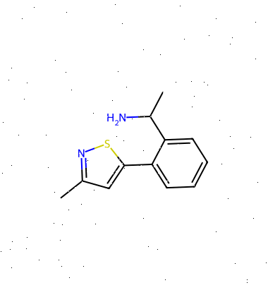 Cc1cc(-c2ccccc2C(C)N)sn1